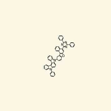 C1=CC(n2c3ccccc3c3c4c5ccccc5n(-c5ccccc5)c4ccc32)Cc2c1oc1cc(-c3nc(-c4ccccc4)nc(-c4ccccc4)n3)c3ccccc3c21